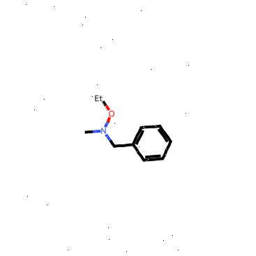 CCON(C)Cc1ccccc1